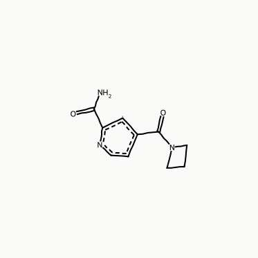 NC(=O)c1[c]c(C(=O)N2CCC2)ccn1